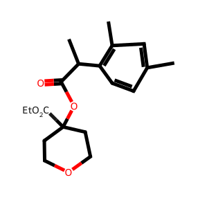 CCOC(=O)C1(OC(=O)C(C)c2ccc(C)cc2C)CCOCC1